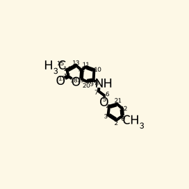 Cc1ccc(OCCNc2ccc3cc(C)c(=O)oc3c2)cc1